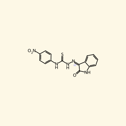 O=C1Nc2ccccc2/C1=N/NC(=S)Nc1ccc([N+](=O)[O-])cc1